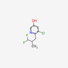 CC(Cc1ncc(O)cc1Cl)C(F)F